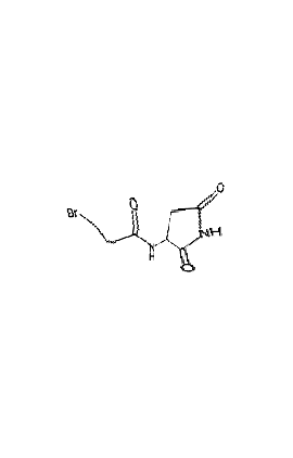 O=C1CC(NC(=O)CBr)C(=O)N1